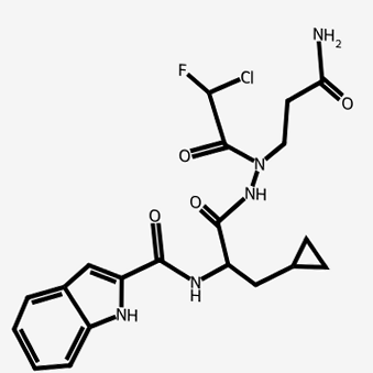 NC(=O)CCN(NC(=O)C(CC1CC1)NC(=O)c1cc2ccccc2[nH]1)C(=O)C(F)Cl